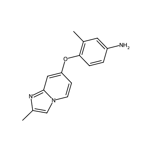 Cc1cn2ccc(Oc3ccc(N)cc3C)cc2n1